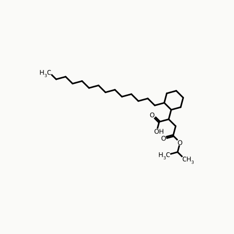 CCCCCCCCCCCCCCC1CCCCC1C(CC(=O)OC(C)C)C(=O)O